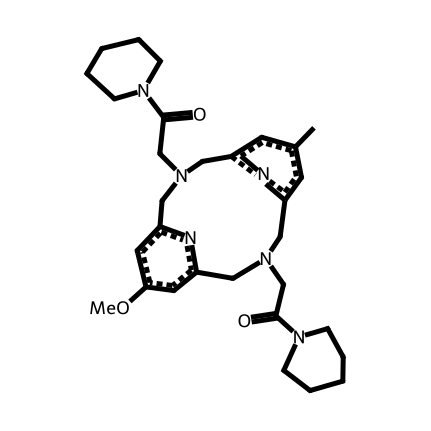 COc1cc2nc(c1)CN(CC(=O)N1CCCCC1)Cc1cc(C)cc(n1)CN(CC(=O)N1CCCCC1)C2